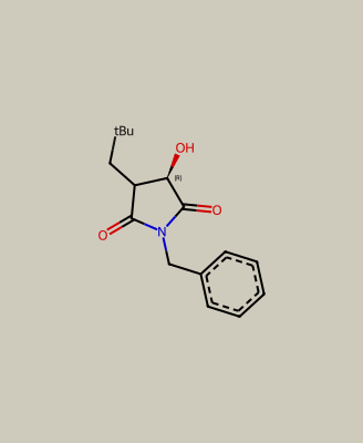 CC(C)(C)CC1C(=O)N(Cc2ccccc2)C(=O)[C@@H]1O